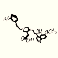 COc1ccc2nccc([C@H](O)CC[C@@H]3CCN(CC#Cc4cccc(C)c4)C[C@@H]3CC(=O)O)c2c1